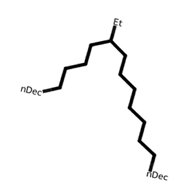 [CH2]CC(CCCCCCCCCCCCCC)CCCCCCCCCCCCCCCCC